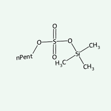 CCCCCOS(=O)(=O)O[Si](C)(C)C